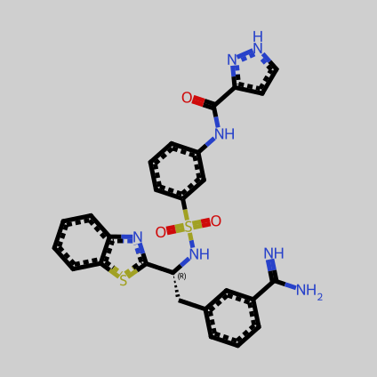 N=C(N)c1cccc(C[C@@H](NS(=O)(=O)c2cccc(NC(=O)c3cc[nH]n3)c2)c2nc3ccccc3s2)c1